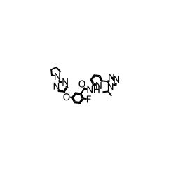 CC(C)n1cnnc1-c1cccc(NC(=O)c2cc(Oc3cnc(N4CCCC4)nc3)ccc2F)n1